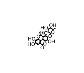 CC1OC(Oc2cc3c(=O)oc4c(O)c(O)cc5c(=O)oc(c2O)c3c45)C(O)C(O)C1O